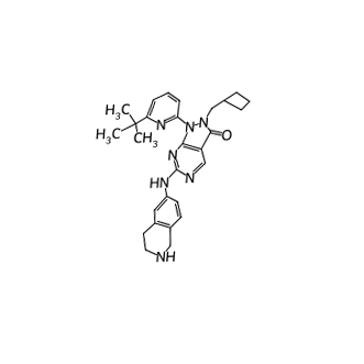 CC(C)(C)c1cccc(-n2c3nc(Nc4ccc5c(c4)CCNC5)ncc3c(=O)n2CC2CCC2)n1